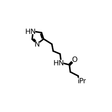 CC(C)CCC(=O)NCCCc1c[nH]cn1